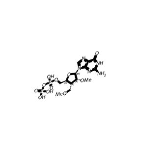 COC[C@H]1[C@@H](OC)[C@H](n2cnc3c(=O)[nH]c(N)nc32)O[C@@H]1COP(=O)(O)OP(=O)(O)O